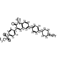 CCn1c(=O)c(-c2ccc(S(C)(=O)=O)cc2)cc2cc(-c3ccc(C4CCN(C(C)C)CC4)cc3)ccc21